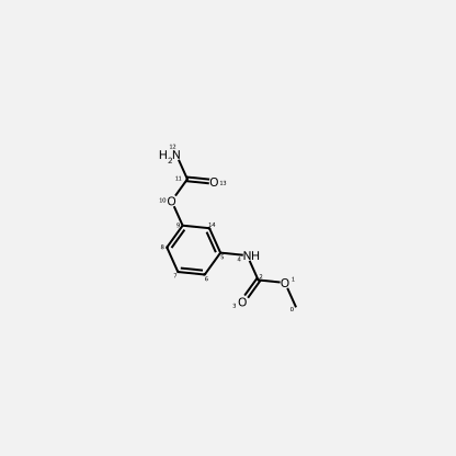 COC(=O)Nc1cccc(OC(N)=O)c1